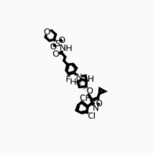 Cc1cccc(Cl)c1-c1noc(C2CC2)c1CO[C@@H]1C[C@@H]2C[C@H]1CN2c1ccc(CCC(=O)NS(=O)(=O)C2CCOCC2)cc1F